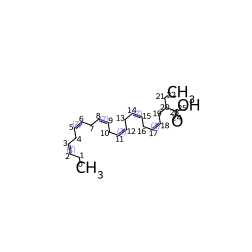 CC/C=C\C/C=C\C/C=C\C/C=C\C/C=C\C/C=C\CC(CC)C(=O)O